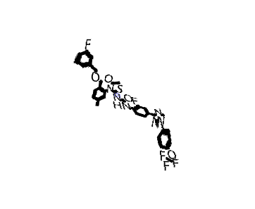 Cc1ccc(COCc2cccc(F)c2)c(N2C(=O)CS/C2=N\C(=O)Nc2ccc(-c3ncn(-c4ccc(OC(F)(F)F)cc4)n3)cc2F)c1